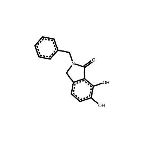 O=C1c2c(ccc(O)c2O)CN1Cc1ccccc1